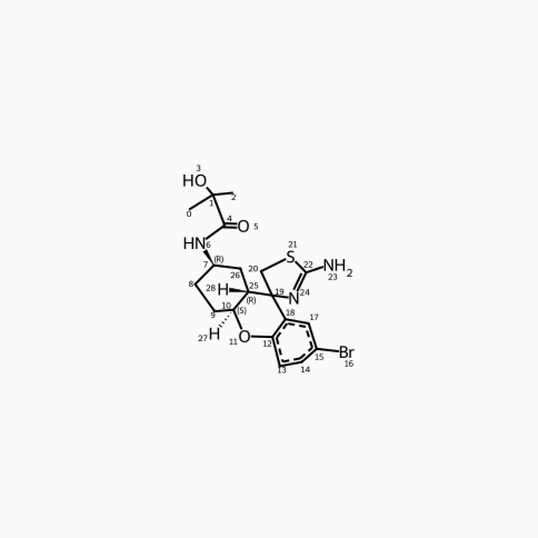 CC(C)(O)C(=O)N[C@@H]1CC[C@@H]2Oc3ccc(Br)cc3C3(CSC(N)=N3)[C@H]2C1